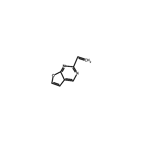 C=Cc1ncc2ccoc2n1